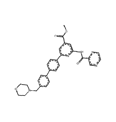 COC(=O)c1cc(NC(=O)c2cnccn2)nc(-c2ccc(-c3ccc(CN4CCOCC4)cc3)cc2)c1